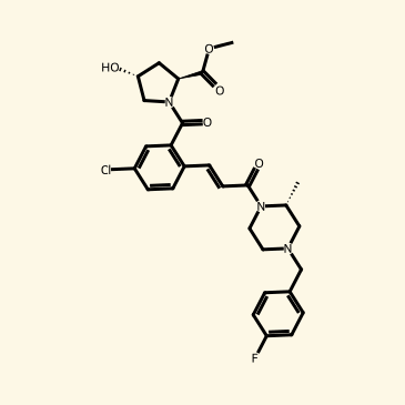 COC(=O)[C@@H]1C[C@@H](O)CN1C(=O)c1cc(Cl)ccc1C=CC(=O)N1CCN(Cc2ccc(F)cc2)C[C@H]1C